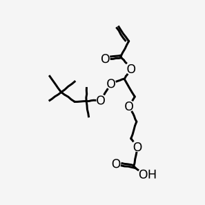 C=CC(=O)OC(COCCOC(=O)O)OOC(C)(C)CC(C)(C)C